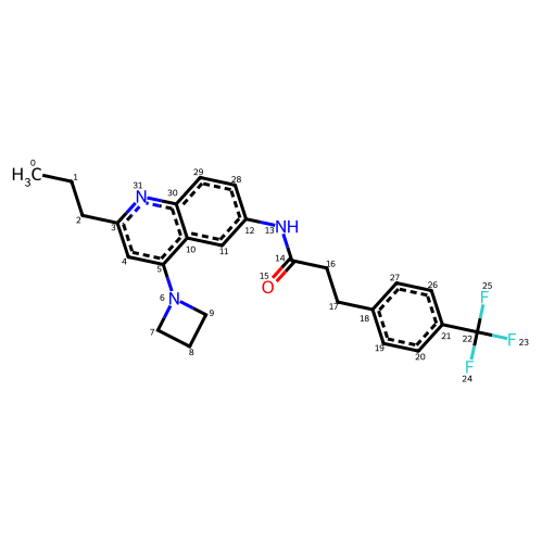 CCCc1cc(N2CCC2)c2cc(NC(=O)CCc3ccc(C(F)(F)F)cc3)ccc2n1